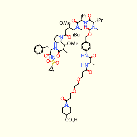 CC[C@H](C)[C@@H]([C@@H](CC(=O)N1CCC[C@H]1[C@H](OC)[C@@H](C)C(=O)N[C@@H](Cc1ccccc1)C(=O)NS(=O)(=O)C1CC1)OC)N(C)C(=O)[C@@H](NC(=O)[C@H](C(C)C)N(C)C(=O)OCc1ccc(NC(=O)[C@H](C)NC(=O)CCOCCOCCC(=O)N2CCC(C(=O)O)CC2)cc1)C(C)C